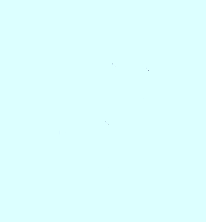 OCCN(CCO)c1ccc2nccnc2c1